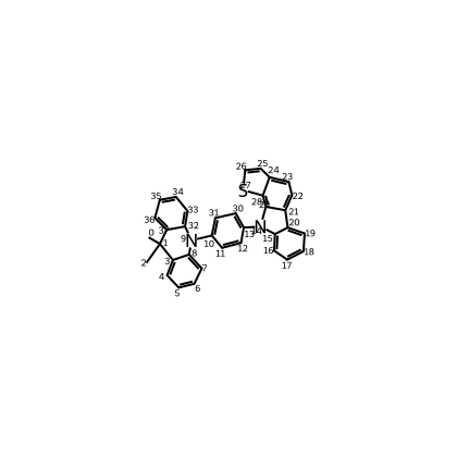 CC1(C)c2ccccc2N(c2ccc(-n3c4ccccc4c4ccc5ccsc5c43)cc2)c2ccccc21